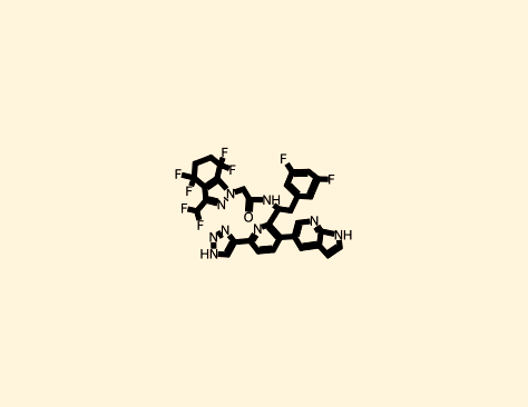 O=C(Cn1nc(C(F)F)c2c1C(F)(F)CCC2(F)F)NC(Cc1cc(F)cc(F)c1)c1nc(-c2c[nH]nn2)ccc1-c1cnc2[nH]ccc2c1